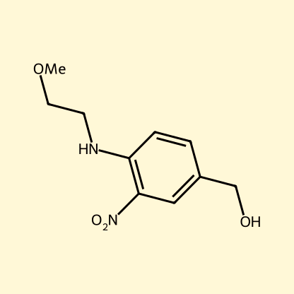 COCCNc1ccc(CO)cc1[N+](=O)[O-]